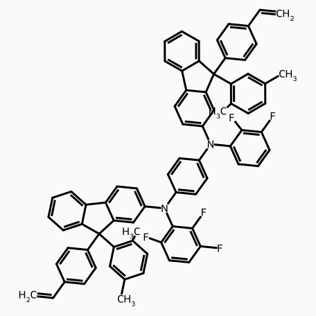 C=Cc1ccc(C2(c3cc(C)ccc3C)c3ccccc3-c3ccc(N(c4ccc(N(c5ccc6c(c5)C(c5ccc(C=C)cc5)(c5cc(C)ccc5C)c5ccccc5-6)c5c(F)ccc(F)c5F)cc4)c4cccc(F)c4F)cc32)cc1